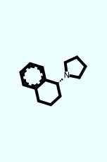 c1ccc2c(c1)CCC[C@H]2N1CCCC1